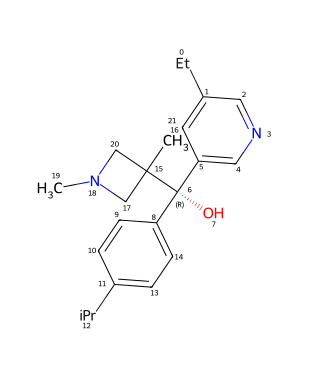 CCc1cncc([C@@](O)(c2ccc(C(C)C)cc2)C2(C)CN(C)C2)c1